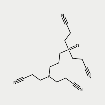 N#CCCP(CCC#N)CCCP(=O)(CCC#N)CCC#N